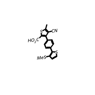 CSc1ccsc1-c1ccc(-c2c(C(=O)O)sc(C)c2C#N)cc1